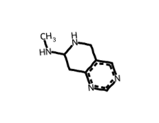 CNC1Cc2ncncc2CN1